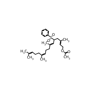 CC(=O)OCC=C(C)CC(C=C(C)CCC=C(C)CCC=C(C)C)S(=O)(=O)c1ccccc1